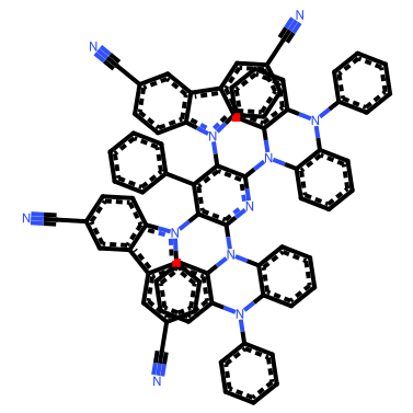 N#Cc1ccc2c(c1)c1cc(C#N)ccc1n2-c1c(N2c3ccccc3N(c3ccccc3)c3ccccc32)nc(N2c3ccccc3N(c3ccccc3)c3ccccc32)c(-n2c3ccc(C#N)cc3c3cc(C#N)ccc32)c1-c1ccccc1